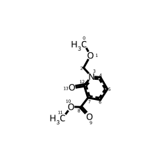 COCn1cccc(C(=O)OC)c1=O